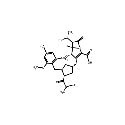 COc1cc(C)cc(C)c1CN1C[C@@H](SC2=C(C(=O)O)N3C(=O)[C@H]([C@@H](C)O)[C@H]3[C@H]2C)C[C@H]1C(=O)N(C)C